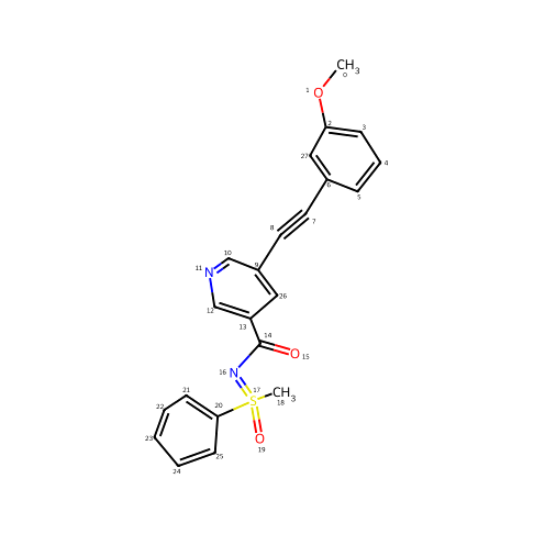 COc1cccc(C#Cc2cncc(C(=O)N=S(C)(=O)c3ccccc3)c2)c1